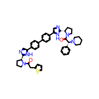 O=C(Cc1cccs1)N1CCC[C@H]1c1ncc(-c2ccc(-c3ccc(-c4cnc([C@@H]5CCCN5C(=O)[C@@H](c5ccccc5)N5CCCCC5)[nH]4)cc3)cc2)[nH]1